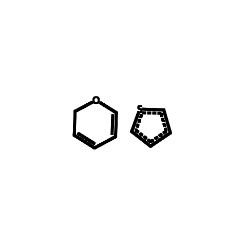 C1=CCOC=C1.c1ccsc1